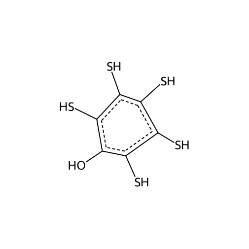 Oc1c(S)c(S)c(S)c(S)c1S